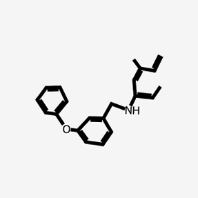 C=C/C(C)=C\C(=C/C)NCc1cccc(Oc2ccccc2)c1